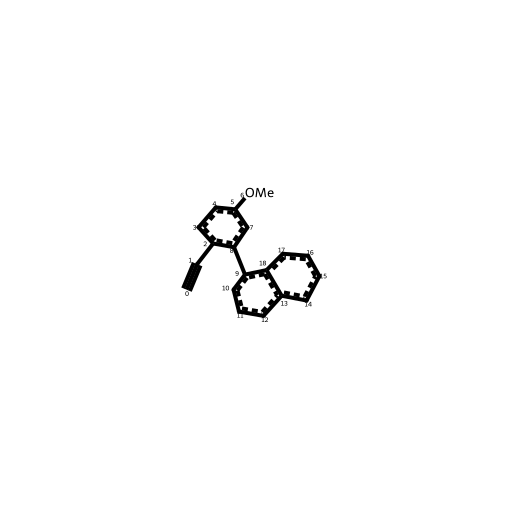 C#Cc1ccc(OC)cc1-c1cccc2ccccc12